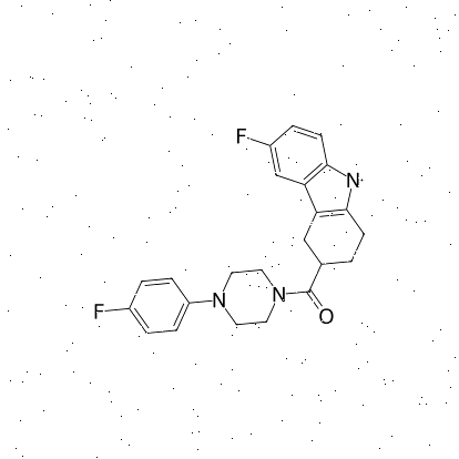 O=C(C1CCC2=C(C1)c1cc(F)ccc1[N]2)N1CCN(c2ccc(F)cc2)CC1